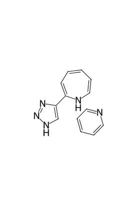 C1=CC=C(c2c[nH]nn2)NC=C1.c1ccncc1